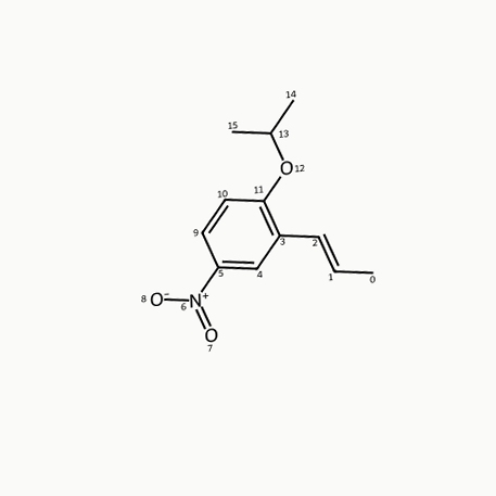 C/C=C/c1cc([N+](=O)[O-])ccc1OC(C)C